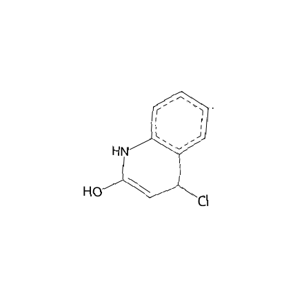 OC1=CC(Cl)c2c[c]ccc2N1